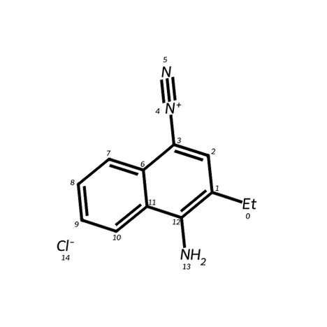 CCc1cc([N+]#N)c2ccccc2c1N.[Cl-]